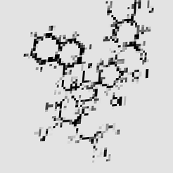 CC(C)OC(=O)[C@H](C)NP(=O)(OC[C@@]1(C(F)F)O[C@@H](n2cc(F)c(N)nc2=O)[C@H](O)[C@@H]1O)Oc1cccc2ccccc12